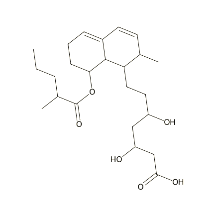 CCCC(C)C(=O)OC1CCC=C2C=CC(C)C(CCC(O)CC(O)CC(=O)O)C21